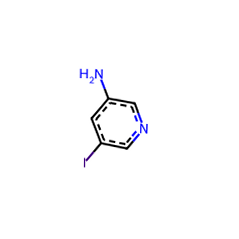 Nc1cncc(I)c1